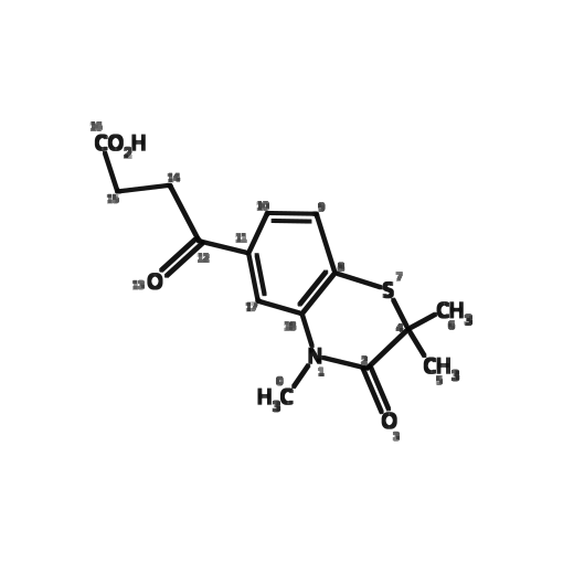 CN1C(=O)C(C)(C)Sc2ccc(C(=O)CCC(=O)O)cc21